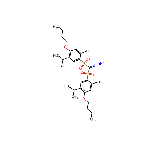 CCCCOc1cc(C)c(S(=O)(=O)C(=[N+]=[N-])S(=O)(=O)c2cc(C(C)C)c(OCCCC)cc2C)cc1C(C)C